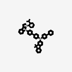 CC(C)C1=CC=CCC1n1ccc2c3ccccc3n(-c3ccc(-c4ccc(N(c5ccc(-c6ccccc6)cc5)c5ccc6c(c5)C(C)(C)c5ccccc5-6)cc4)cc3)c21